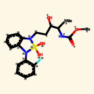 CNC(NC(=O)OC(C)(C)C)C(O)CCN1c2ccccc2N(c2ccccc2F)S1(O)O